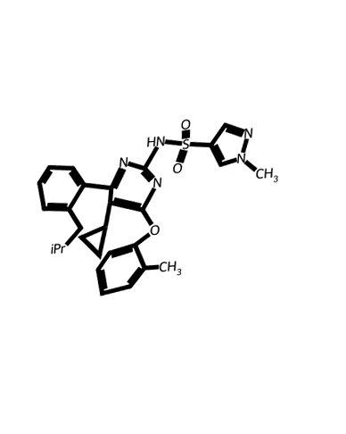 Cc1ccccc1Oc1nc(NS(=O)(=O)c2cnn(C)c2)nc(-c2ccccc2CC(C)C)c1C1CC1